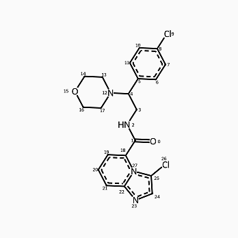 O=C(NCC(c1ccc(Cl)cc1)N1CCOCC1)c1cccc2ncc(Cl)n12